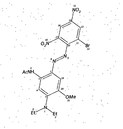 CCN(CC)c1cc(NC(C)=O)c(N=Nc2c(Br)cc([N+](=O)[O-])cc2[N+](=O)[O-])cc1OC